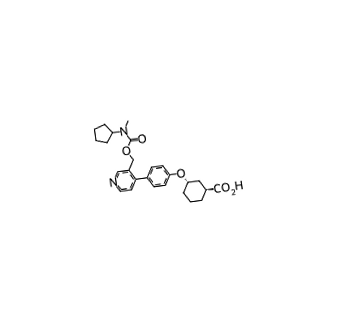 CN(C(=O)OCc1cnccc1-c1ccc(O[C@H]2CCC[C@H](C(=O)O)C2)cc1)C1CCCC1